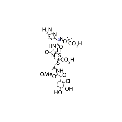 COC[C@H](CS[C@]1(C(=O)O)CN2C(=O)C(NC(=O)/C(=N\OC(C)(C)C(=O)O)c3csc(N)n3)[C@H]2S1)NC(=O)C(=O)c1ccc(O)c(O)c1Cl